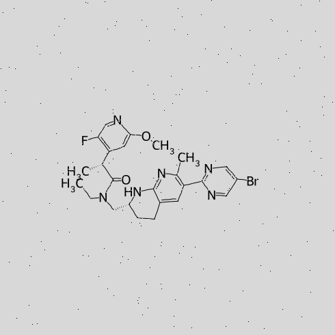 CCN(C[C@H]1CCc2cc(-c3ncc(Br)cn3)c(C)nc2N1)C(=O)[C@H](C)c1cc(OC)ncc1F